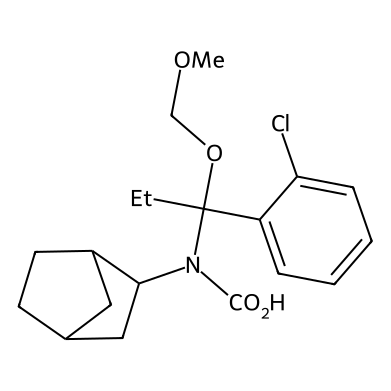 CCC(OCOC)(c1ccccc1Cl)N(C(=O)O)C1CC2CCC1C2